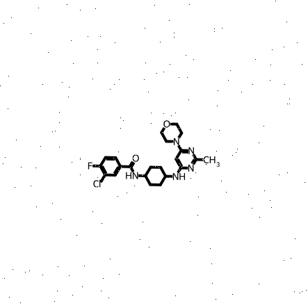 Cc1nc(NC2CCC(NC(=O)c3ccc(F)c(Cl)c3)CC2)cc(N2CCOCC2)n1